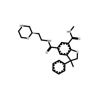 CNC(=O)c1cc(C(=O)NCC[C@@H]2CNCCO2)cc2c1OCC2(C)c1ccccc1